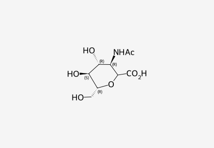 CC(=O)N[C@H]1C(C(=O)O)O[C@H](CO)[C@@H](O)[C@@H]1O